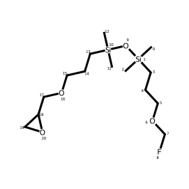 C[Si](C)(CCCOCF)O[Si](C)(C)CCCOCC1CO1